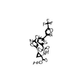 Cc1cc([C@@H]2C[C@]2(NS(=O)(=O)c2ccc(-c3cc(C(F)(F)F)on3)s2)C(=O)O)on1